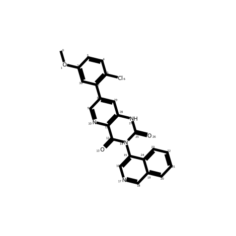 COc1ccc(Cl)c(-c2cnc3c(=O)n(-c4cncc5ccccc45)c(=O)[nH]c3c2)c1